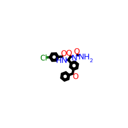 NC(=O)N1C(=O)C(NC(=O)c2ccc(Cl)cc2)c2cc(C(=O)c3ccccc3)ccc21